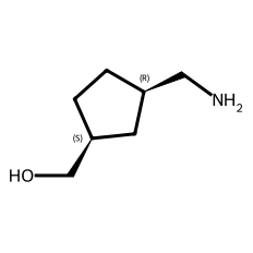 NC[C@@H]1CC[C@H](CO)C1